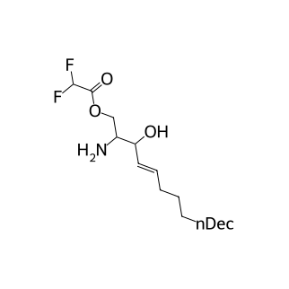 CCCCCCCCCCCCCC=CC(O)C(N)COC(=O)C(F)F